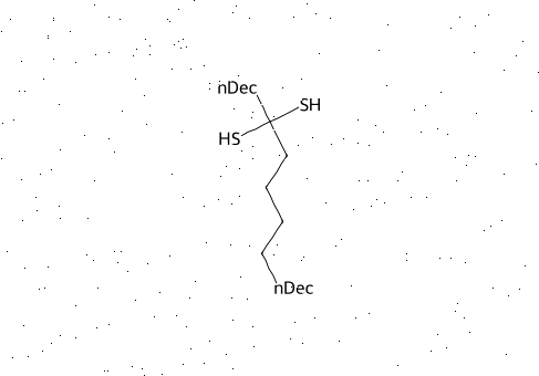 CCCCCCCCCCCCCCC(S)(S)CCCCCCCCCC